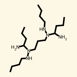 CCCCNN(CCCN(NCCCC)C(N)CCC)C(N)CCC